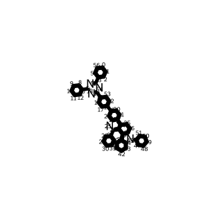 c1ccc(-c2nc(-c3ccccc3)nc(-c3ccc(-c4ccc5c(c4)nc(-c4ccccc4)c4c5ccc5c4c4ccccc4n5-c4ccccc4)cc3)n2)cc1